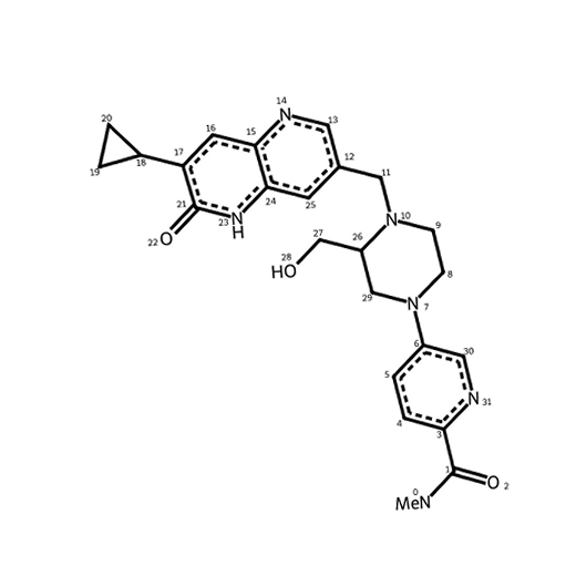 CNC(=O)c1ccc(N2CCN(Cc3cnc4cc(C5CC5)c(=O)[nH]c4c3)C(CO)C2)cn1